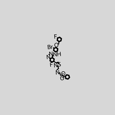 CN(CCc1nc(-c2cc3c(Nc4ccc(OCc5cccc(F)c5)c(Br)c4)ncnc3cc2F)cs1)CCS(=O)(=O)c1ccccc1